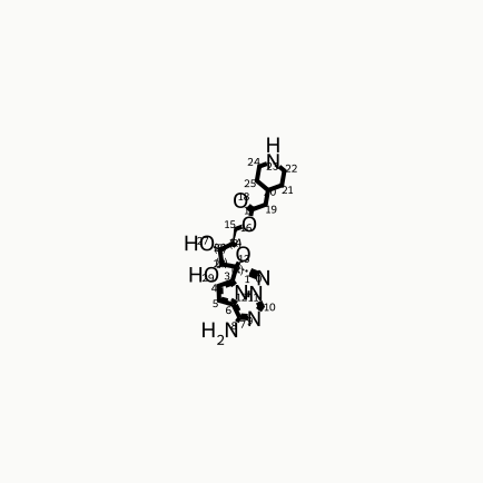 N#C[C@@]1(c2ccc3c(N)ncnn23)O[C@H](COC(=O)CC2CCNCC2)[C@@H](O)[C@H]1O